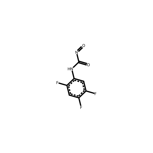 O=NC(=O)Nc1cc(F)c(F)cc1F